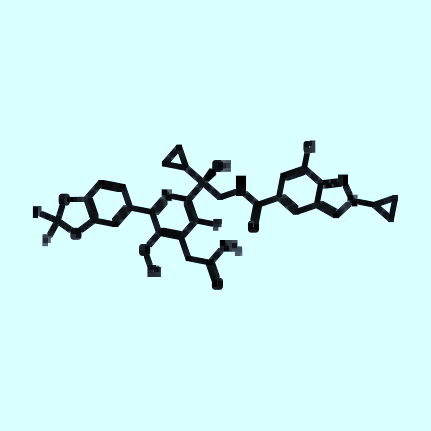 CCOc1c(-c2ccc3c(c2)OC(F)(F)O3)nc([C@@](O)(CNC(=O)c2cc(Cl)c3nn(C4CC4)cc3c2)C2CC2)c(F)c1CC(N)=O